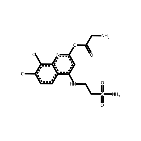 NCC(=O)Oc1cc(NCCS(N)(=O)=O)c2ccc(Cl)c(Cl)c2n1